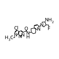 CCn1cc(Cl)c2cc(C(=O)NC3CCc4nc(N5CC(N)C(CF)C5)ccc4C3)nnc21